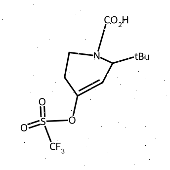 CC(C)(C)C1C=C(OS(=O)(=O)C(F)(F)F)CCN1C(=O)O